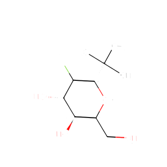 CC(C)(C)[C@@H]1OC(CO)[C@@H](O)[C@H](O)C1F